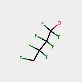 [O]C(F)(F)C(F)(F)C(F)(F)CF